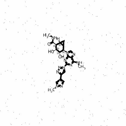 CNC(=O)[C@@H]1[C@@H](O)[C@@H](O)[C@H](n2cnc3c(NC)nc(-n4cc(-c5cnn(C)c5)nn4)nc32)C2C[C@H]21